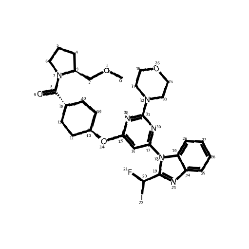 COC[C@@H]1CCCN1C(=O)[C@H]1CC[C@H](Oc2cc(-n3c(C(F)I)nc4ccccc43)nc(N3CCOCC3)n2)CC1